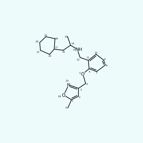 Cc1cc(COc2ccccc2CNC(C)CC2CCCCC2)no1